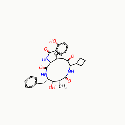 C[C@H]1CC(=O)C(C2CCC2)NC(=O)[C@H](C)[C@H](O)[C@H](Cc2ccccc2)NC(=O)[C@H]1NC(=O)c1ccccc1O